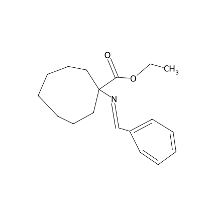 CCOC(=O)C1(N=Cc2ccccc2)CCCCCCC1